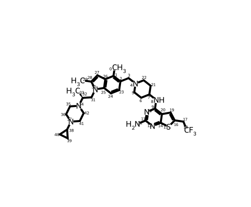 Cc1c(CN2CCC(Nc3nc(N)nc4sc(CC(F)(F)F)cc34)CC2)ccc2c1cc(C)n2C[C@H](C)N1CCN(C2CC2)CC1